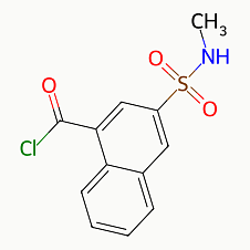 CNS(=O)(=O)c1cc(C(=O)Cl)c2ccccc2c1